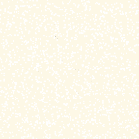 C=CC(=O)N1CCN2c3nc(=O)n(-c4c(C)ccnc4C(C)C)c4c(F)c(-c5ccccc5O)c(Cl)c(c34)S(=O)(=O)CC2C1